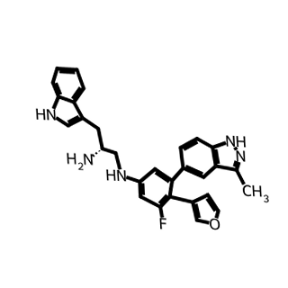 Cc1n[nH]c2ccc(-c3cc(NC[C@H](N)Cc4c[nH]c5ccccc45)cc(F)c3-c3ccoc3)cc12